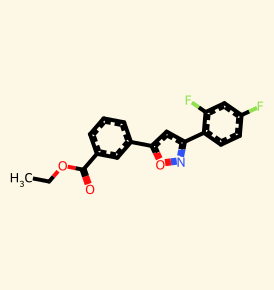 CCOC(=O)c1cccc(-c2cc(-c3ccc(F)cc3F)no2)c1